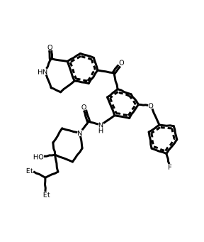 CCC(CC)CC1(O)CCN(C(=O)Nc2cc(Oc3ccc(F)cc3)cc(C(=O)c3ccc4c(c3)CCNC4=O)c2)CC1